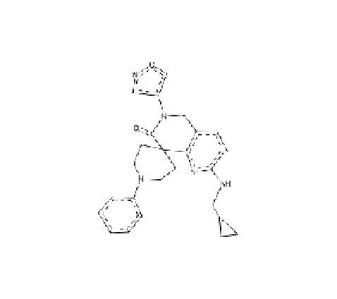 O=C1N(c2cnoc2)Cc2cnc(NCC3CC3)nc2C12CCN(c1ccccc1)CC2